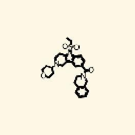 CCS(=O)(=O)n1c2c(c3cc(C(=O)N4CCc5ccccc5C4)ccc31)CN(C1CCOCC1)CC2